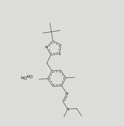 CCN(C)C=Nc1cc(C)c(Cc2nc(C(C)(C)C)cs2)cc1C.Cl.Cl